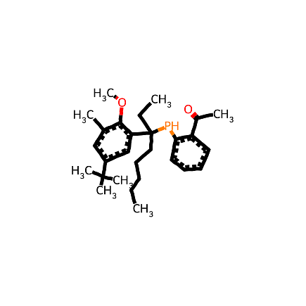 CCCCCC(CC)(Pc1ccccc1C(C)=O)c1cc(C(C)(C)C)cc(C)c1OC